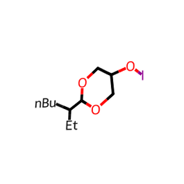 CCCCC(CC)C1OCC(OI)CO1